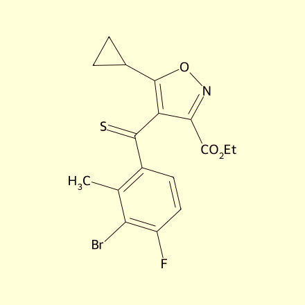 CCOC(=O)c1noc(C2CC2)c1C(=S)c1ccc(F)c(Br)c1C